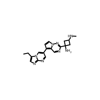 CCc1cnc2ncc(-c3ccn4nc(C5(N)CC(NC)C5)ncc34)cn12